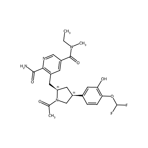 CCN(C)C(=O)c1cnc(C(N)=O)c(C[C@H]2C[C@@H](c3ccc(OC(F)F)c(O)c3)CN2C(C)=O)c1